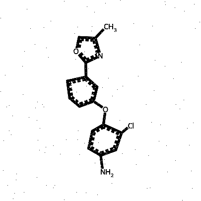 Cc1coc(-c2cccc(Oc3ccc(N)cc3Cl)c2)n1